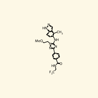 COCCn1nc(-c2ccc(C(=O)NCC(F)(F)F)cc2)nc1Nc1ccc2[nH]ncc2c1C